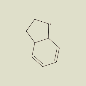 [C]1CCC2C=CC=CC12